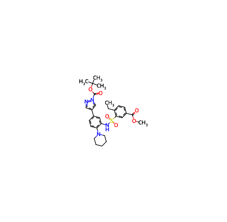 CCc1ccc(C(=O)OC)cc1S(=O)(=O)Nc1cc(-c2cnn(C(=O)OC(C)(C)C)c2)ccc1N1CCCCC1